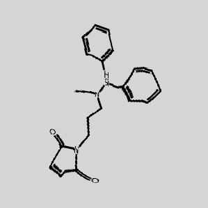 CN(CCCN1C(=O)C=CC1=O)[SiH](c1ccccc1)c1ccccc1